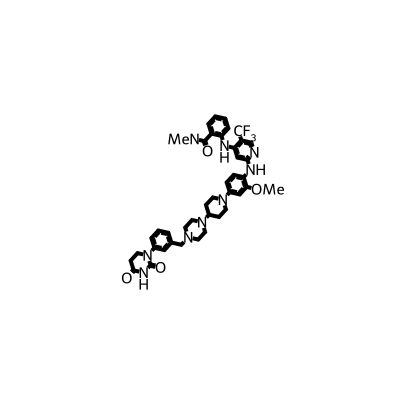 CNC(=O)c1ccccc1Nc1cc(Nc2ccc(N3CCC(N4CCN(Cc5cccc(N6CCC(=O)NC6=O)c5)CC4)CC3)cc2OC)ncc1C(F)(F)F